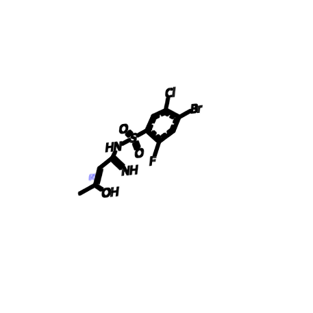 C/C(O)=C/C(=N)NS(=O)(=O)c1cc(Cl)c(Br)cc1F